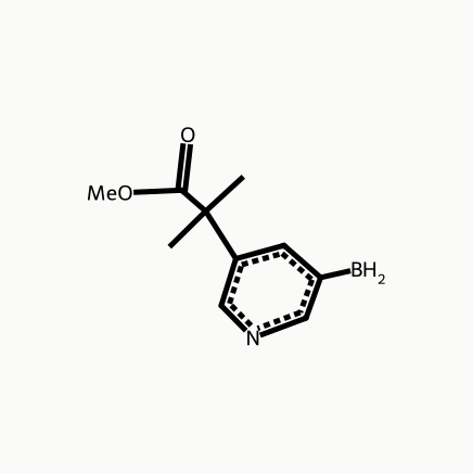 Bc1cncc(C(C)(C)C(=O)OC)c1